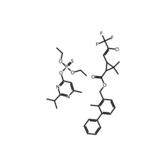 CCOP(=S)(OCC)Oc1cc(C)nc(C(C)C)n1.Cc1c(COC(=O)C2C(/C=C(\Cl)C(F)(F)F)C2(C)C)cccc1-c1ccccc1